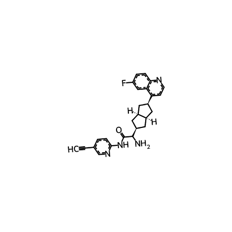 C#Cc1ccc(NC(=O)C(N)[C@H]2C[C@H]3C[C@@H](c4ccnc5ccc(F)cc45)C[C@H]3C2)nc1